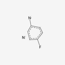 [N].[N]c1ccc(F)cc1